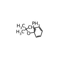 CC(C)(C)Oc1ccccc1.P